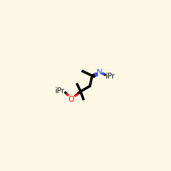 C/C(CC(C)(C)OC(C)C)=N/C(C)C